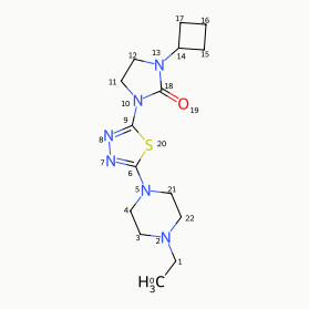 CCN1CCN(c2nnc(N3CCN(C4CCC4)C3=O)s2)CC1